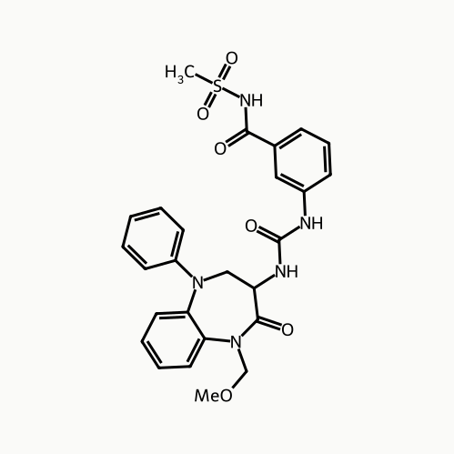 COCN1C(=O)C(NC(=O)Nc2cccc(C(=O)NS(C)(=O)=O)c2)CN(c2ccccc2)c2ccccc21